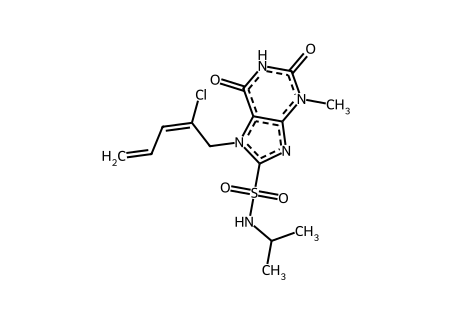 C=C/C=C(/Cl)Cn1c(S(=O)(=O)NC(C)C)nc2c1c(=O)[nH]c(=O)n2C